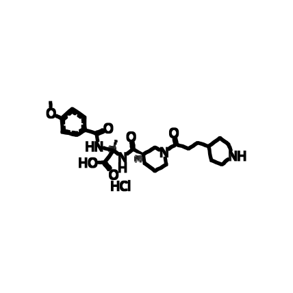 COc1ccc(C(=O)N[C@@](C)(NC(=O)[C@@H]2CCCN(C(=O)CCC3CCNCC3)C2)C(=O)O)cc1.Cl